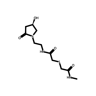 CNC(=O)CSCC(=O)NCCN1C[C@H](O)CC1=O